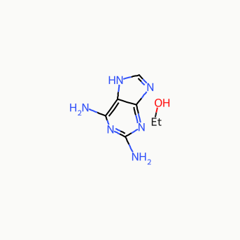 CCO.Nc1nc(N)c2[nH]cnc2n1